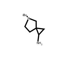 CCC(C)N1CCC2(CC2N)C1